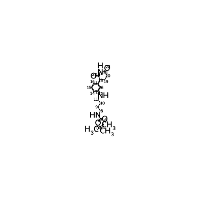 CC(C)(C)OC(=O)NCCCCNc1cccc(C2CCC(=O)NC2=O)c1